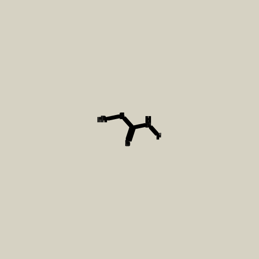 CCCSC(=S)NF